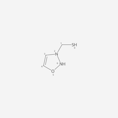 SCN1C=CON1